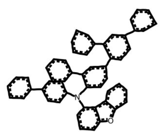 c1ccc(-c2ccc(N(c3ccc(-c4ccc(-c5ccccc5)cc4-c4ccccc4)cc3-c3ccccc3)c3cccc4oc5ccccc5c34)cc2)cc1